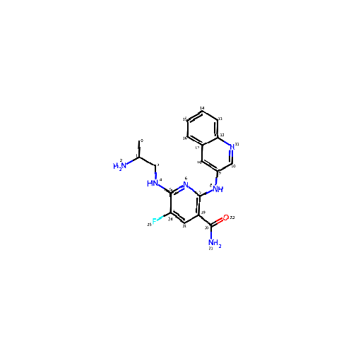 CC(N)CNc1nc(Nc2cnc3ccccc3c2)c(C(N)=O)cc1F